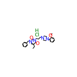 CCc1cn(Cc2ccccc2)c(=O)n(CCCN2CCN(c3ccccc3OC)CC2)c1=O.Cl